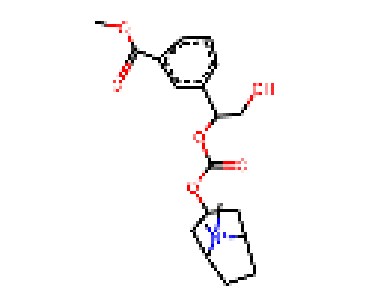 COC(=O)c1cccc(C(CO)OC(=O)OC2CC3CCC(C2)[N+]3(C)C)c1